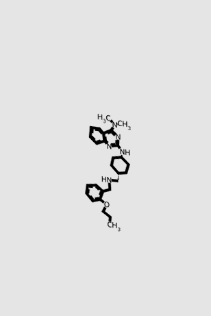 CCCOc1ccccc1CNC[C@H]1CC[C@@H](Nc2nc(N(C)C)c3ccccc3n2)CC1